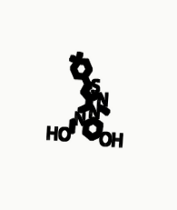 Cc1nc(CN(CCO)[C@H]2CC[C@@H](O)CC2)c2cc(C3CCC(C)(C)CC3)sc2n1